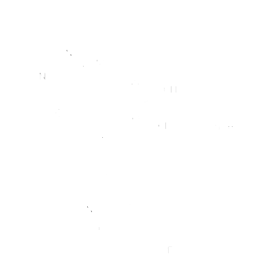 CCCCCCCCCCCCC(C)(C)C(=O)OCC1(CCc2c(C)nc3n(c2=O)CCCC3)CCC(c2noc3cc(F)ccc23)CC1